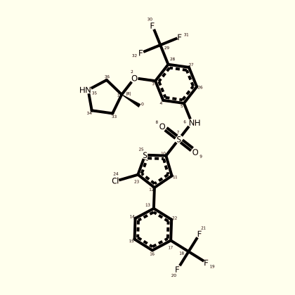 C[C@@]1(Oc2cc(NS(=O)(=O)c3cc(-c4cccc(C(F)(F)F)c4)c(Cl)s3)ccc2C(F)(F)F)CCNC1